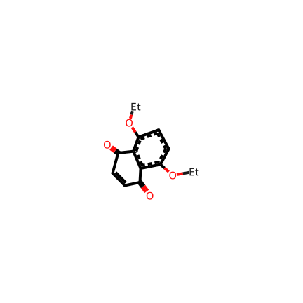 CCOc1ccc(OCC)c2c1C(=O)C=CC2=O